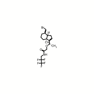 C[C@H](OCC(=O)NCC(F)(F)C(F)(F)F)C1=CC[C@H]2/C(=C/Br)CCC[C@]12C